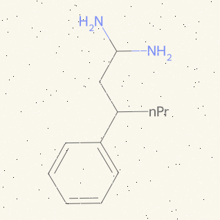 CCCC(CC(N)N)c1ccccc1